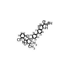 CC(C)c1onc(-c2c(Cl)cccc2Cl)c1COc1ccc(-c2ccc3c(c2)SCC(C(=O)NS)=C3)cc1